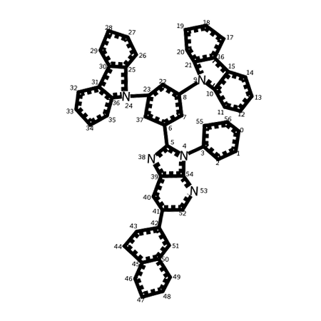 c1ccc(-n2c(-c3cc(-n4c5ccccc5c5ccccc54)cc(-n4c5ccccc5c5ccccc54)c3)nc3cc(-c4ccc5ccccc5c4)cnc32)cc1